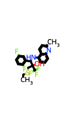 CCSCC(O)(C(Nc1cccc2nc(C)ccc12)c1cc(F)ccc1F)C(F)(F)F